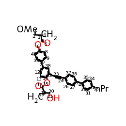 C=C(COC)C(=O)Oc1ccc(-c2ccc(OC(=O)C(=C)CO)c(C#Cc3ccc(-c4ccc(CCC)cc4)cc3)c2)cc1